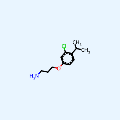 CC(C)c1ccc(OCCCN)cc1Cl